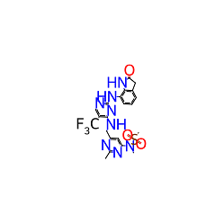 Cc1nc(CNc2nc(Nc3cccc4c3NC(=O)C4)ncc2C(F)(F)F)cc(N(C)S(C)(=O)=O)n1